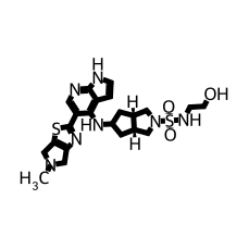 CN1Cc2nc(-c3cnc4[nH]ccc4c3NC3C[C@@H]4CN(S(=O)(=O)NCCO)C[C@@H]4C3)sc2C1